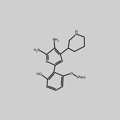 CCCCCOc1cccc(O)c1-c1cc(C2CCCNC2)c(N)c(N)n1